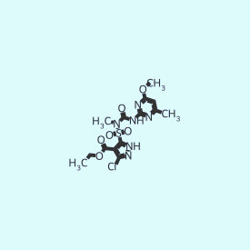 CCOC(=O)c1c(Cl)n[nH]c1S(=O)(=O)N(C)C(=O)Nc1nc(C)cc(OC)n1